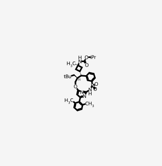 Cc1cccc(C)c1-c1cc2nc(n1)NS(=O)(=O)c1cccc(c1)C([C@H]1C[C@](C)(NC(=O)OC(C)C)C1)[C@H](CC(C)(C)C)CO2